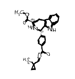 COC(=O)[C@H]1Cc2c([nH]c3ccccc23)[C@H](c2ccc(C(=O)OCC3(C)CC3)cc2)N1